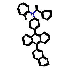 C=C(c1ccccc1)N(C1=C(C)C=CCC=C1)c1ccc(-c2c3ccccc3c(-c3ccc4ccccc4c3)c3ccccc23)cc1